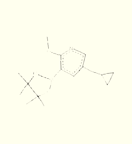 COc1ncc(C2CC2)cc1B1OC(C)(C)C(C)(C)O1